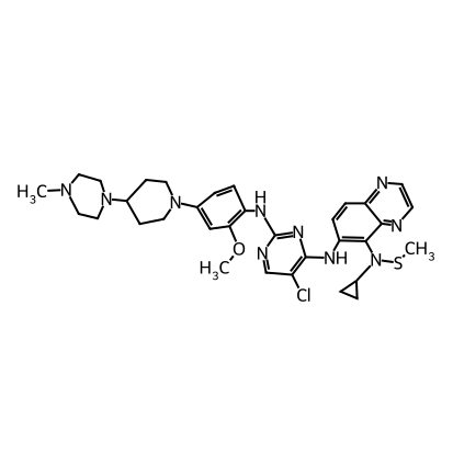 COc1cc(N2CCC(N3CCN(C)CC3)CC2)ccc1Nc1ncc(Cl)c(Nc2ccc3nccnc3c2N(SC)C2CC2)n1